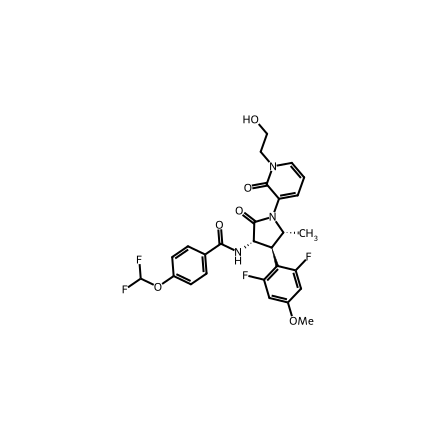 COc1cc(F)c([C@H]2[C@H](NC(=O)c3ccc(OC(F)F)cc3)C(=O)N(c3cccn(CCO)c3=O)[C@@H]2C)c(F)c1